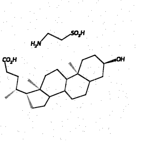 C[C@H](CCC(=O)O)[C@H]1CCC2C3CCC4C[C@H](O)CC[C@]4(C)C3CC[C@@]21C.NCCS(=O)(=O)O